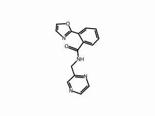 O=C(NCc1cnccn1)c1ccccc1-c1ncco1